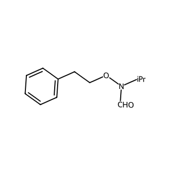 CC(C)N(C=O)OCCc1ccccc1